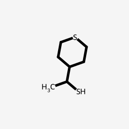 CC(S)C1CCSCC1